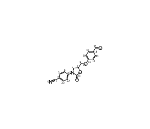 N#Cc1ccc(N2CC(COc3ccc(C=O)cc3)OC2=O)cc1